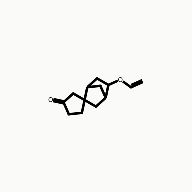 C=COC1CC2CC1CC21CCC(=O)C1